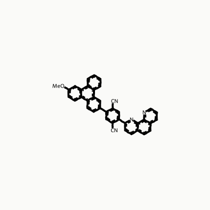 COc1ccc2c3ccc(-c4cc(C#N)c(-c5ccc6ccc7cccnc7c6n5)cc4C#N)cc3c3ccccc3c2c1